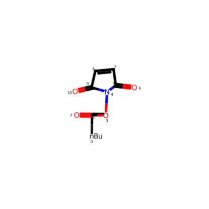 CCCCC(=O)ON1C(=O)C=CC1=O